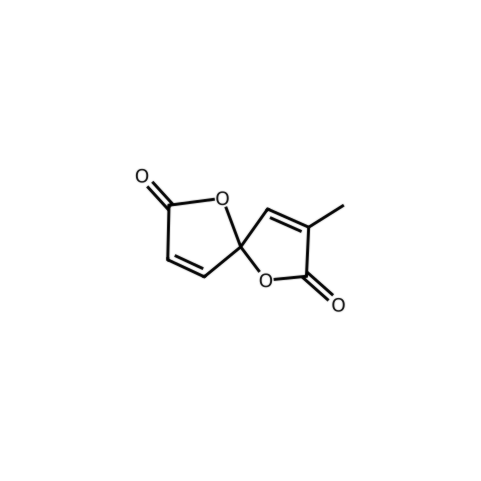 CC1=CC2(C=CC(=O)O2)OC1=O